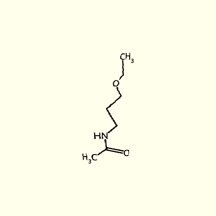 CCOCCCNC(C)=O